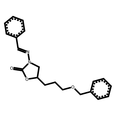 O=C1OC(CCCOCc2ccccc2)CN1/N=C/c1ccccc1